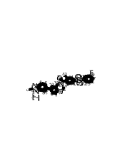 Cc1nc2ccc(-c3ccc4c(c3)CN(C(=O)c3ccc(S(=O)(=O)c5cccc(F)c5)cc3C)CCO4)cc2[nH]1